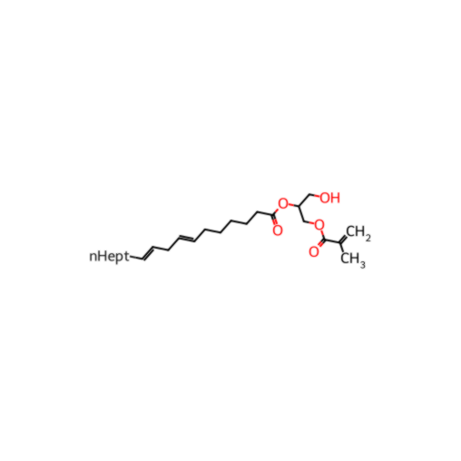 C=C(C)C(=O)OCC(CO)OC(=O)CCCCC/C=C/C/C=C/CCCCCCC